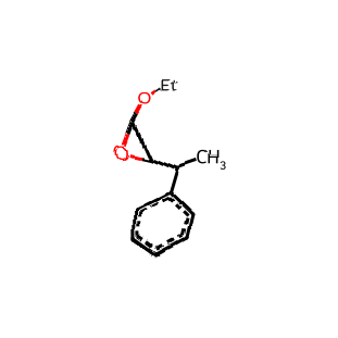 CCOC1OC1C(C)c1ccccc1